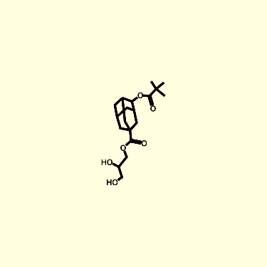 CC(C)(C)C(=O)OC1C2CC3CC1CC(C(=O)OCC(O)CO)(C3)C2